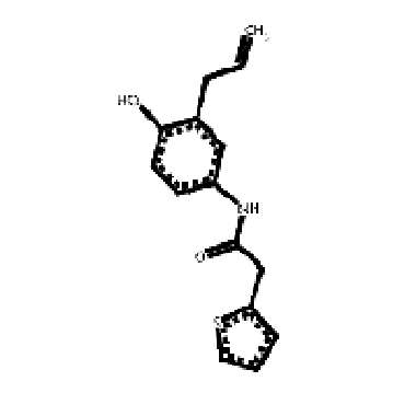 C=CCc1cc(NC(=O)Cc2cccs2)ccc1O